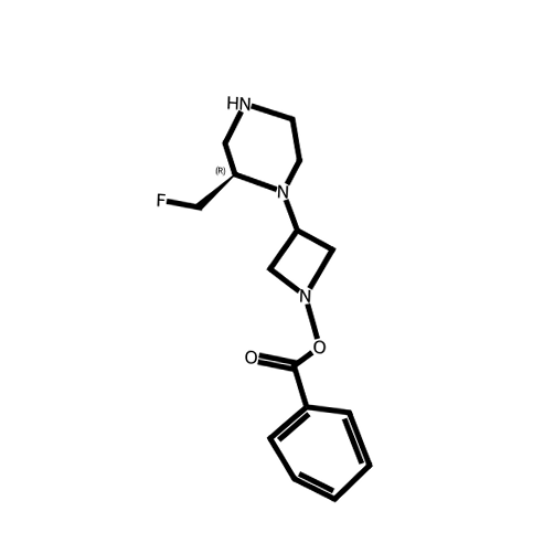 O=C(ON1CC(N2CCNC[C@@H]2CF)C1)c1ccccc1